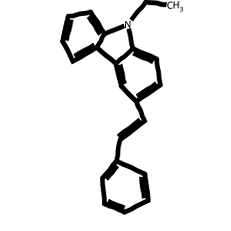 CCn1c2ccccc2c2cc(C=Cc3ccccc3)ccc21